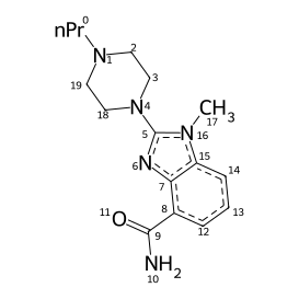 CCCN1CCN(c2nc3c(C(N)=O)cccc3n2C)CC1